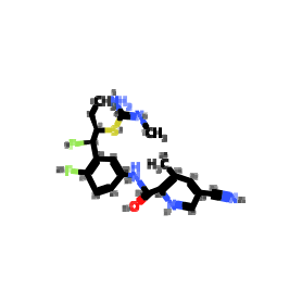 CC[C@@H](S/C(N)=N\C)[C@H](F)c1cc(NC(=O)c2ncc(C#N)cc2C)ccc1F